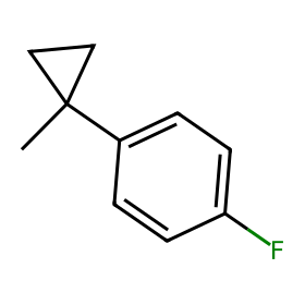 CC1(c2ccc(F)cc2)CC1